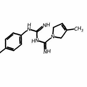 CC1=CCN(C(=N)NC(=N)Nc2ccc(F)cc2)C1